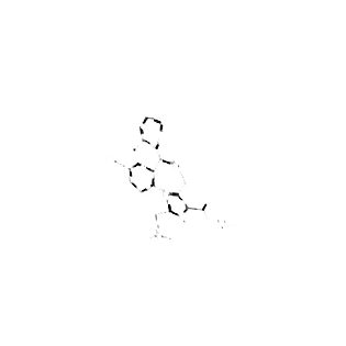 COC(=O)c1nc(CN(C)C)n2c1CN=C(c1ccccc1Cl)c1cc(Cl)ccc1-2